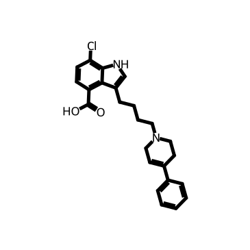 O=C(O)c1ccc(Cl)c2[nH]cc(CCCCN3CC=C(c4ccccc4)CC3)c12